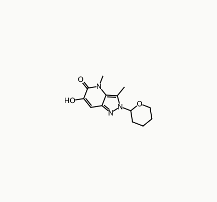 Cc1c2c(cc(O)c(=O)n2C)nn1C1CCCCO1